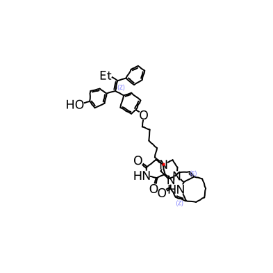 CC/C(=C(\c1ccc(O)cc1)c1ccc(OCCCCCN2CCN(C3N/C4=C\C(=O)N(C5CCC(=O)NC5=O)C/C=C/3CCCC4)CC2)cc1)c1ccccc1